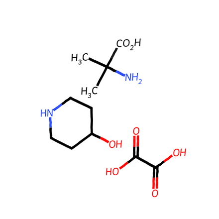 CC(C)(N)C(=O)O.O=C(O)C(=O)O.OC1CCNCC1